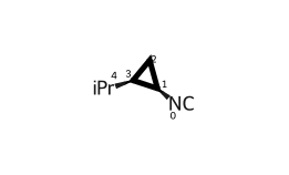 [C-]#[N+][C@@H]1C[C@@H]1C(C)C